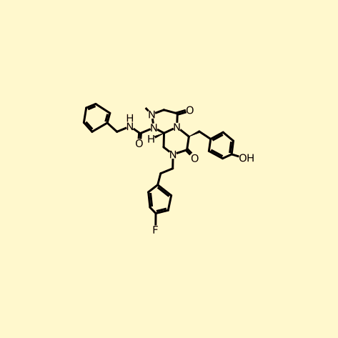 CN1CC(=O)N2[C@@H](Cc3ccc(O)cc3)C(=O)N(CCc3ccc(F)cc3)C[C@@H]2N1C(=O)NCc1ccccc1